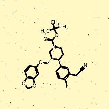 CC(C)(C)OC(=O)N1CC[C@@H](c2ccc(F)c(CC#N)c2)[C@H](COc2ccc3c(c2)OCO3)C1